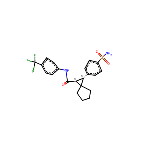 NS(=O)(=O)c1ccc([C@H]2[C@H](C(=O)Nc3ccc(C(F)(F)F)cc3)C23CCCC3)cc1